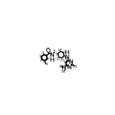 Cc1cccc(C(=O)NC[C@H]2CC[C@@H](Nc3cc(N(C)C)nc(C)n3)CC2)c1